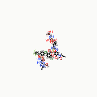 C#CCN1C(=O)COc2cc(F)c(/N=c3\snc4n3CC(C)(C)C4)cc21.COc1c(Cl)ccc(Cl)c1C(=O)O.COc1nc(C)nc(NC(=O)NS(=O)(=O)c2ccccc2CCC(F)(F)F)n1.O=C(O)CNCP(=O)(O)O